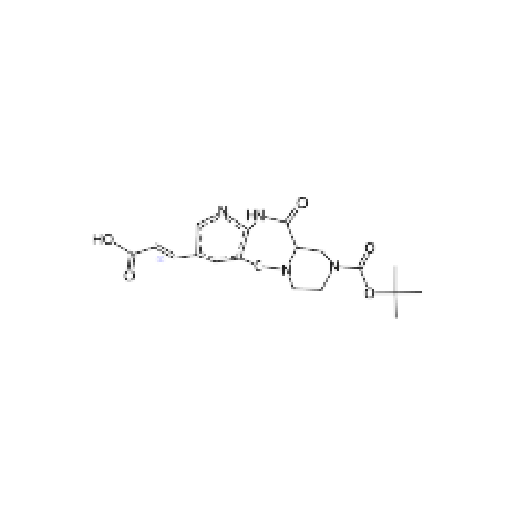 CC(C)(C)OC(=O)N1CCN2Cc3cc(/C=C/C(=O)O)cnc3NC(=O)C2C1